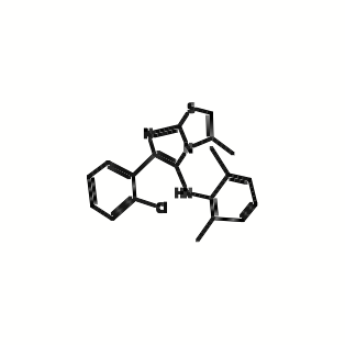 Cc1cccc(C)c1Nc1c(-c2ccccc2Cl)nc2scc(C)n12